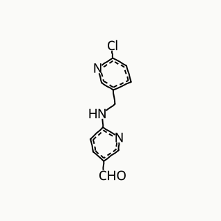 O=Cc1ccc(NCc2ccc(Cl)nc2)nc1